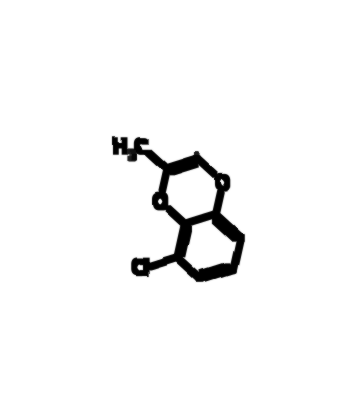 CC1=[C]Oc2cccc(Cl)c2O1